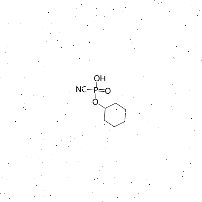 N#CP(=O)(O)OC1CCCCC1